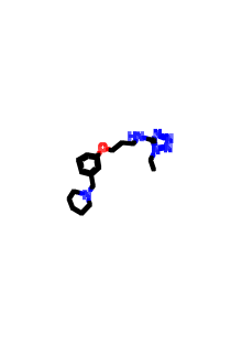 CCn1nnnc1NCCCOc1cccc(CN2CCCCC2)c1